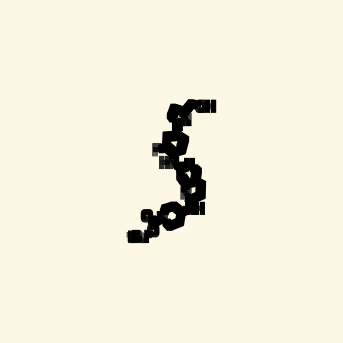 CC(C)(C)OC(=O)N1CCC(Nc2ccc3cnc(Nc4ccc(-n5ccc(CO)n5)cc4F)cc3n2)CC1